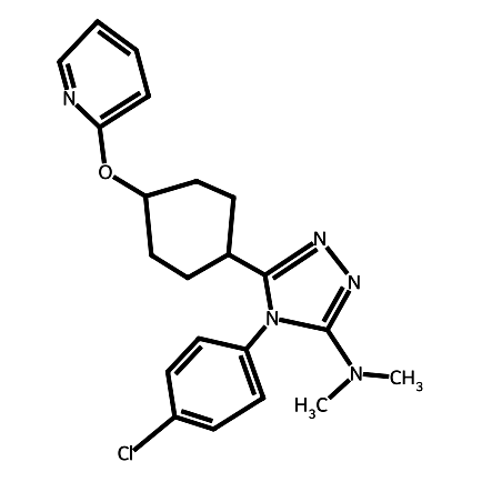 CN(C)c1nnc(C2CCC(Oc3ccccn3)CC2)n1-c1ccc(Cl)cc1